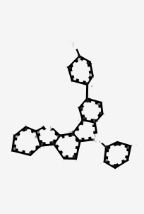 Brc1ccc(-c2ccc3c(c2)c2c4sc5ccccc5c4ccc2n3-c2ccccc2)cc1